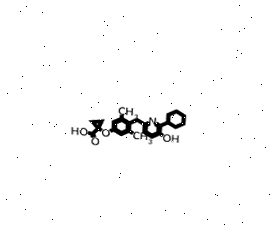 Cc1cc(OC2(C(=O)O)CC2)cc(C)c1Cc1ccc(O)c(C2CCCCC2)n1